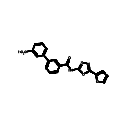 O=C(O)c1cccc(-c2cccc(C(=O)Nc3nnc(-c4ccco4)o3)c2)c1